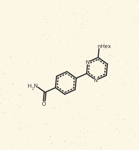 CCCCCCc1ccnc(-c2ccc(C(N)=O)cc2)n1